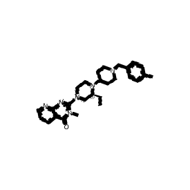 CC[C@H]1CN(c2nc3ncccc3c(=O)n2C)CCN1C1CCN(Cc2ccc(C)cc2)CC1